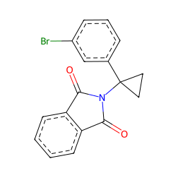 O=C1c2ccccc2C(=O)N1C1(c2cccc(Br)c2)CC1